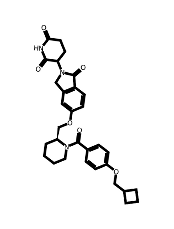 O=C1CCC(N2Cc3cc(OC[C@@H]4CCCCN4C(=O)c4ccc(OCC5CCC5)cc4)ccc3C2=O)C(=O)N1